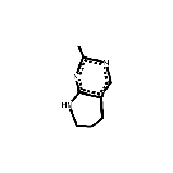 Cc1ncc2c(n1)NCCC2